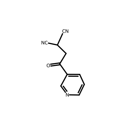 N#CC(C#N)CC(=O)c1cccnc1